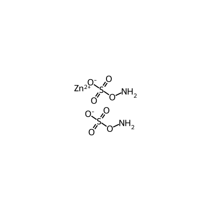 NOS(=O)(=O)[O-].NOS(=O)(=O)[O-].[Zn+2]